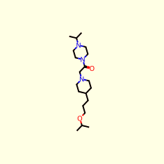 CC(C)OCCCC1CCN(CC(=O)N2CCN(C(C)C)CC2)CC1